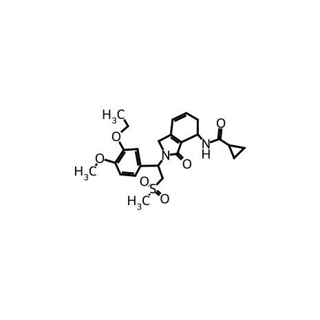 CCOc1cc(C(CS(C)(=O)=O)N2CC3=C(C2=O)C(NC(=O)C2CC2)CC=C3)ccc1OC